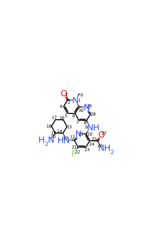 Cn1c(=O)ccc2cc(Nc3nc(N[C@@H]4CCCC[C@@H]4N)c(F)cc3C(N)=O)cnc21